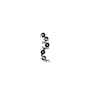 BN1CCN(Cc2ccc(C(=O)Nc3cccc(Nc4nccc(-c5cccnc5)n4)c3)cc2)CC1